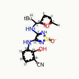 Cc1ccc(C(Nc2n[s+]([O-])nc2Nc2cccc(C#N)c2O)C(C)(C)C)o1